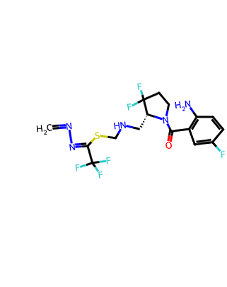 C=N/N=C(\SCNC[C@H]1N(C(=O)c2cc(F)ccc2N)CCC1(F)F)C(F)(F)F